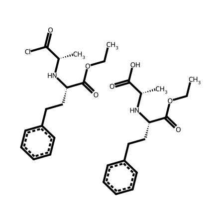 CCOC(=O)[C@H](CCc1ccccc1)N[C@@H](C)C(=O)Cl.CCOC(=O)[C@H](CCc1ccccc1)N[C@@H](C)C(=O)O